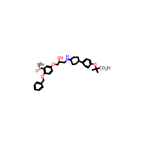 CCCC[S+]([O-])c1cc(OC[C@@H](O)CNC2CCC(c3ccc(OC(C)(C)C(=O)OCC)cc3)CC2)ccc1OCc1ccccc1